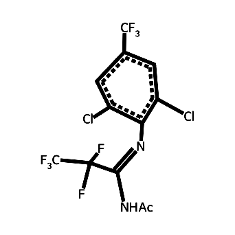 CC(=O)N/C(=N/c1c(Cl)cc(C(F)(F)F)cc1Cl)C(F)(F)C(F)(F)F